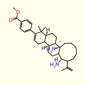 C=C(C)C1CCCCC[C@]2(N)[C@H](CC[C@@H]3[C@@]4(C)CC=C(c5ccc(C(=O)OC)cc5)C(C)(C)[C@@H]4CC[C@]32C)[C@@H]1N